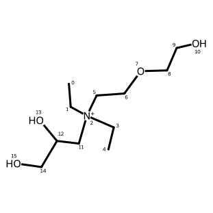 CC[N+](CC)(CCOCCO)CC(O)CO